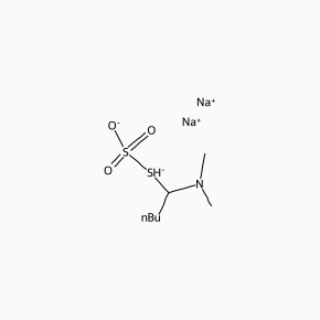 CCCCC([SH-]S(=O)(=O)[O-])N(C)C.[Na+].[Na+]